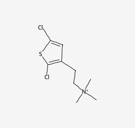 C[N+](C)(C)CCc1cc(Cl)sc1Cl